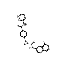 Cc1cncc2ccc(NC(=O)[C@@H]3C[C@H]3c3ccc(C(=O)Nc4cccnn4)cc3)cc12